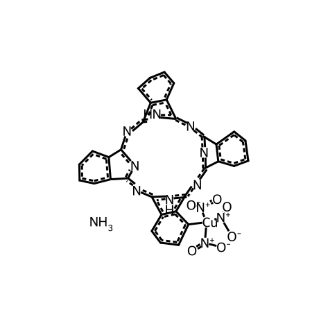 N.O=[N+]([O-])[Cu]([c]1cccc2c3nc4nc(nc5[nH]c(nc6nc(nc([nH]3)c12)-c1ccccc1-6)c1ccccc51)-c1ccccc1-4)([N+](=O)[O-])[N+](=O)[O-]